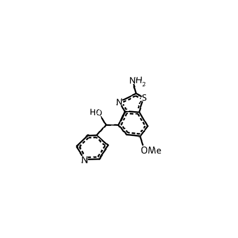 COc1cc(C(O)c2ccncc2)c2nc(N)sc2c1